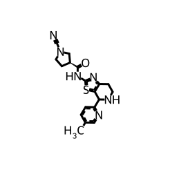 Cc1ccc(C2NCCc3nc(NC(=O)[C@H]4CCN(C#N)C4)sc32)nc1